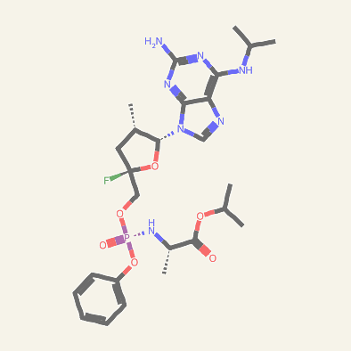 CC(C)Nc1nc(N)nc2c1ncn2[C@@H]1O[C@](F)(CO[P@@](=O)(N[C@@H](C)C(=O)OC(C)C)Oc2ccccc2)C[C@@H]1C